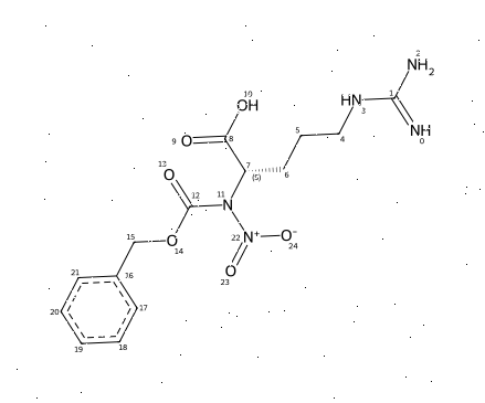 N=C(N)NCCC[C@@H](C(=O)O)N(C(=O)OCc1ccccc1)[N+](=O)[O-]